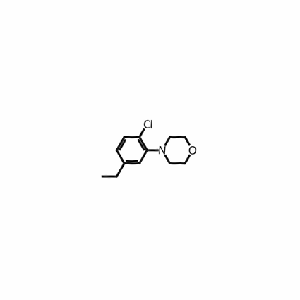 CCc1ccc(Cl)c(N2CCOCC2)c1